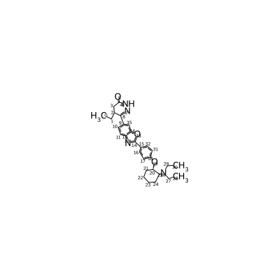 CCC1CC(=O)NN=C1c1ccc2nc(-c3ccc(O[C@@H]4CCCC[C@H]4N(CC)CC)cc3)oc2c1